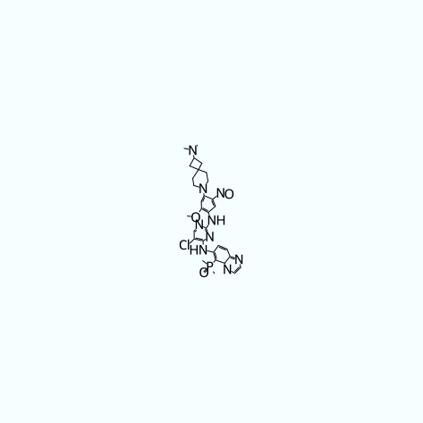 COc1cc(N2CCC3(CC2)CC(N(C)C)C3)c(N=O)cc1Nc1ncc(Cl)c(Nc2ccc3nccnc3c2P(C)(C)=O)n1